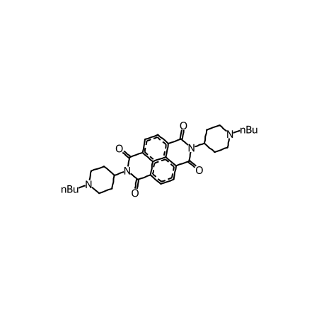 CCCCN1CCC(N2C(=O)c3ccc4c5c(ccc(c35)C2=O)C(=O)N(C2CCN(CCCC)CC2)C4=O)CC1